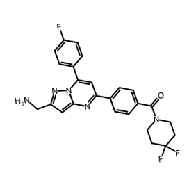 NCc1cc2nc(-c3ccc(C(=O)N4CCC(F)(F)CC4)cc3)cc(-c3ccc(F)cc3)n2n1